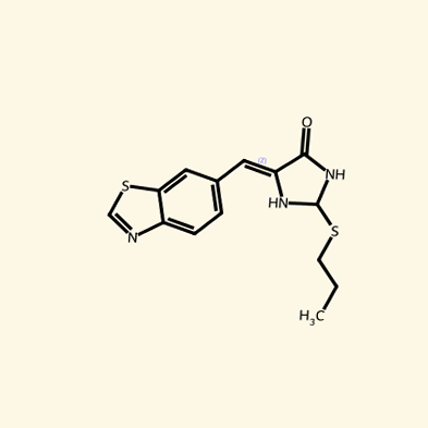 CCCSC1NC(=O)/C(=C/c2ccc3ncsc3c2)N1